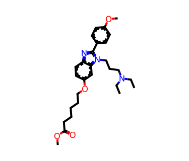 CCN(CC)CCCn1c(-c2ccc(OC)cc2)nc2ccc(OCCCCCC(=O)OC)cc21